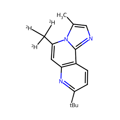 [2H]C([2H])([2H])c1cc2nc(C(C)(C)C)ccc2c2ncc(C)n12